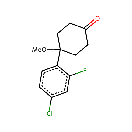 COC1(c2ccc(Cl)cc2F)CCC(=O)CC1